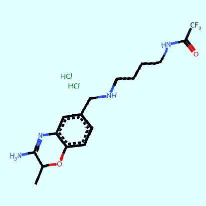 CC1Oc2ccc(CNCCCCNC(=O)C(F)(F)F)cc2N=C1N.Cl.Cl